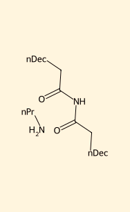 CCCCCCCCCCCC(=O)NC(=O)CCCCCCCCCCC.CCCN